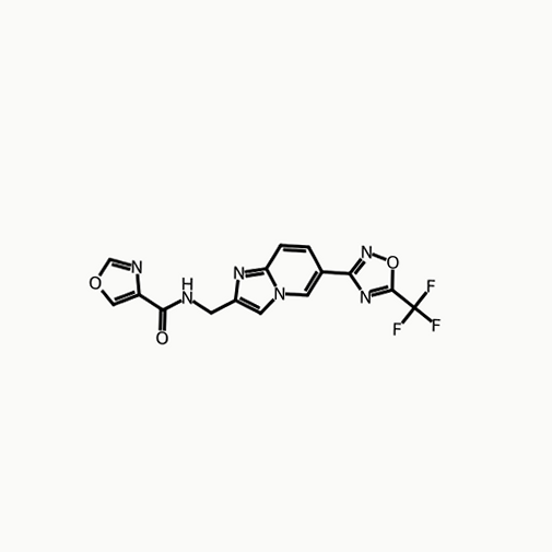 O=C(NCc1cn2cc(-c3noc(C(F)(F)F)n3)ccc2n1)c1cocn1